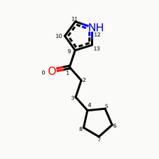 O=C(CCC1CCCC1)c1cc[nH]c1